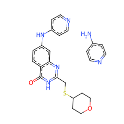 Nc1ccncc1.O=c1[nH]c(CSC2CCOCC2)nc2cc(Nc3ccncc3)ccc12